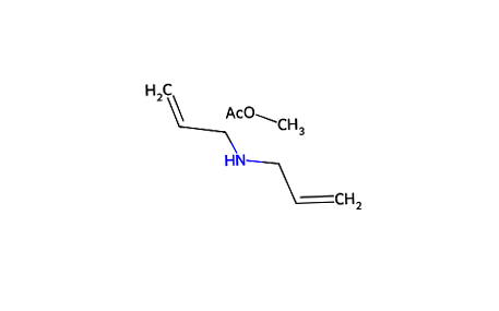 C=CCNCC=C.COC(C)=O